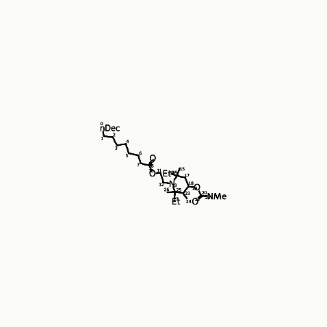 CCCCCCCCCCCCCCCCCC(=O)OCCN1C(C)(CC)CC(OC(=O)NC)C(C)C1(C)CC